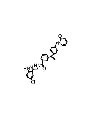 C=C(c1ccc(Cn2ccccc2=O)cc1)c1cccc(C(=O)NCc2n[nH]c3ccc(Cl)cc23)c1